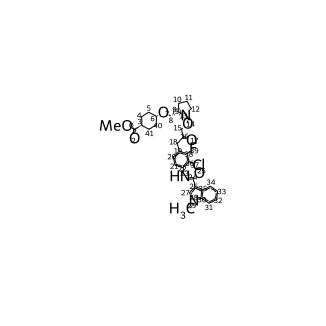 COC(=O)[C@H]1CC[C@H](OC[C@@H]2CCCN2OCC(=O)Cc2ccc(NC(=O)c3cn(C)c4ccccc34)c(Cl)c2F)CC1